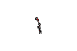 Cc1c(OCCCN2CCN(c3ccccn3)CC2)cccc1-c1cccc(OCCCN2CC[C@@H](O)C2)c1C